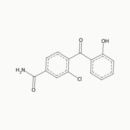 NC(=O)c1ccc(C(=O)c2ccccc2O)c(Cl)c1